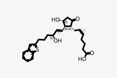 O=C(O)CCC/C=C\C[C@H]1C(=O)C[C@@H](O)[C@@H]1/C=C/[C@@H](O)CCCc1cc2ccccc2s1